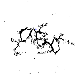 CCCCCCN(CC)c1ccc(OC)c(-c2nnc3/c(=C\c4ccc(N(CC)CCOC)cc4C)c(C(C)(C)C)nn23)c1